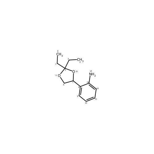 CCC1(CC)OCC(c2ccccc2N)O1